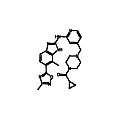 Cc1noc(-c2ccc3nc(Nc4cc(CN5CCN(C(=O)C6CC6)CC5)ccn4)[nH]c3c2C)n1